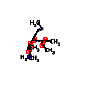 CCCCC/C=C\C/C=C\CCCCCCCCC(CCOC(=O)CC1CCC(OC(=O)CCCN(C)C)C1C)OC(=O)CCCCC(COC(=O)CCCCC)COC(=O)CCCCC